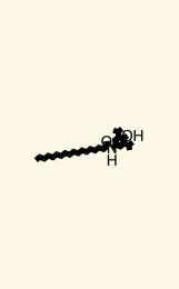 CCCCCCCCCCCCCCCCCC(=O)Nc1cc(C(C)C)c(O)c(C(C)C)c1